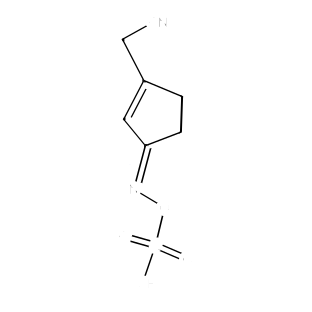 N#CCC1=C/C(=N/OS(=O)(=O)C(F)(F)F)CC1